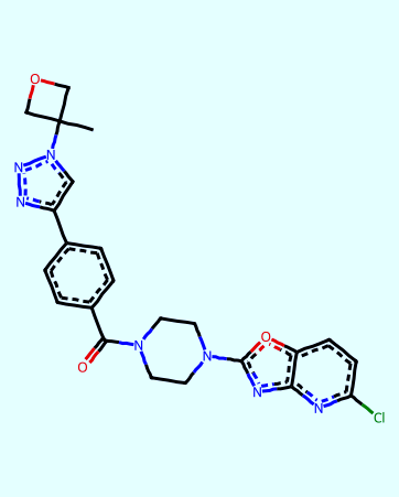 CC1(n2cc(-c3ccc(C(=O)N4CCN(c5nc6nc(Cl)ccc6o5)CC4)cc3)nn2)COC1